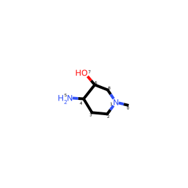 CN1CCC(N)C(O)C1